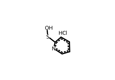 Cl.OSc1ccccn1